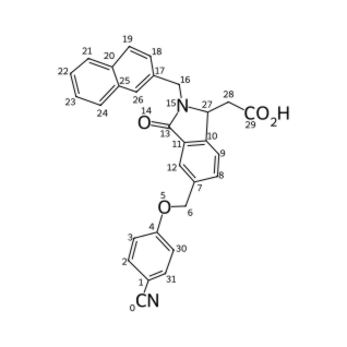 N#Cc1ccc(OCc2ccc3c(c2)C(=O)N(Cc2ccc4ccccc4c2)C3CC(=O)O)cc1